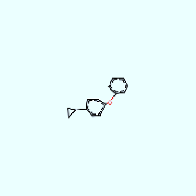 c1ccc(Oc2ccc(C3CC3)cc2)cc1